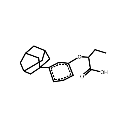 CCC(Oc1cccc(C23CC4CC(CC(C4)C2)C3)c1)C(=O)O